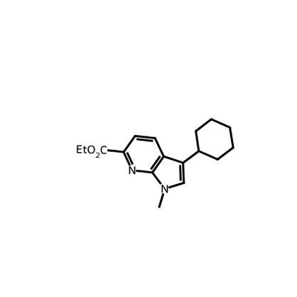 CCOC(=O)c1ccc2c(C3CCCCC3)cn(C)c2n1